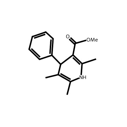 COC(=O)C1=C(C)NC(C)=C(C)C1c1ccccc1